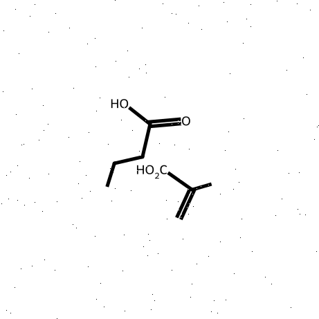 C=C(C)C(=O)O.CCCC(=O)O